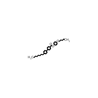 C=CCCCOc1ccc(OC(=O)c2ccc(-c3ccc(CCCCCCCC)cc3)cc2)cc1